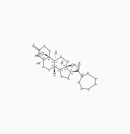 C[C@]12CCC(=O)N[C@@H]1CC[C@@H]1[C@@H]2CC[C@]2(C)[C@@H](C(=O)N3CCCCCC3)CC[C@@H]12